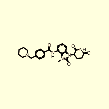 Cn1c(=O)n(C2CCC(=O)NC2=O)c2cccc(NC(=O)c3ccc(CN4CCCCC4)cc3)c21